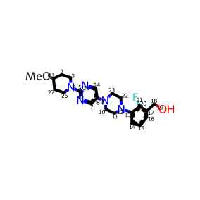 COC1CCN(c2ncc(N3CCN(c4cccc(CO)c4F)CC3)cn2)CC1